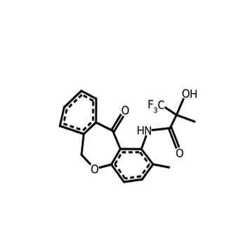 Cc1ccc2c(c1NC(=O)C(C)(O)C(F)(F)F)C(=O)c1ccccc1CO2